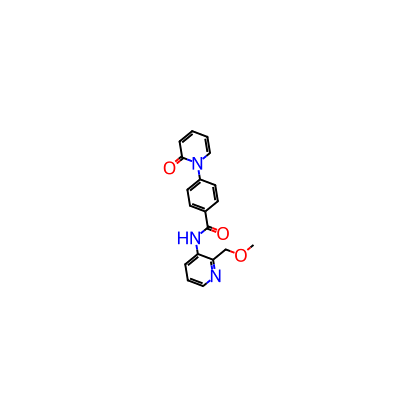 COCc1ncccc1NC(=O)c1ccc(-n2ccccc2=O)cc1